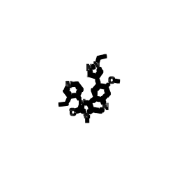 CCc1cnccc1-n1c(=O)n(C)c2cnc3cc(OC)c(-c4cnn(CC)c4)cc3c21